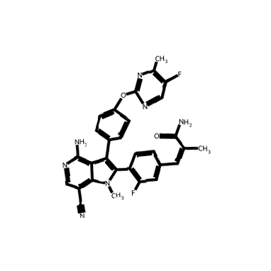 CC(=Cc1ccc(-c2c(-c3ccc(Oc4ncc(F)c(C)n4)cc3)c3c(N)ncc(C#N)c3n2C)c(F)c1)C(N)=O